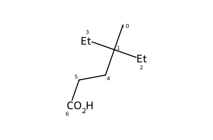 [CH2]C(CC)(CC)CCC(=O)O